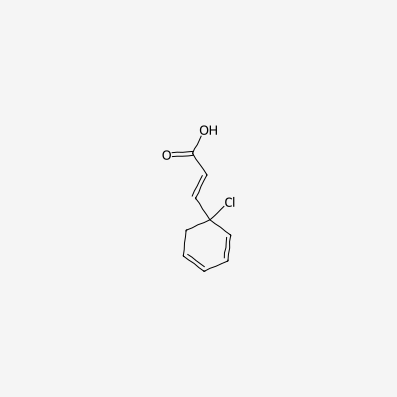 O=C(O)C=CC1(Cl)C=CC=CC1